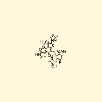 COc1ccc(F)cc1[C@H](Cn1c(=O)n([C@@H]2CCNC2=O)c(=O)c2c(C)c(-n3nccn3)sc21)O[C@H]1C[C@H](O)C1